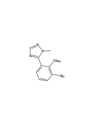 CCC(C)c1cccc(-c2ncnn2C)c1OC